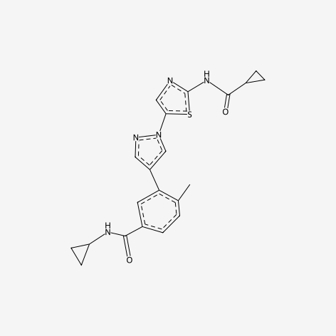 Cc1ccc(C(=O)NC2CC2)cc1-c1cnn(-c2cnc(NC(=O)C3CC3)s2)c1